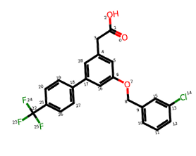 O=C(O)Cc1cc(OCc2cccc(Cl)c2)cc(-c2ccc(C(F)(F)F)cc2)c1